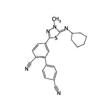 Cn1nc(-c2ccc(C#N)c(-c3ccc(C#N)cc3)c2)sc1=NC1CCCCC1